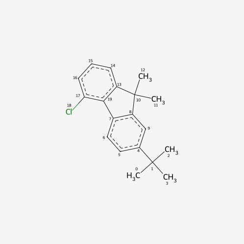 CC(C)(C)c1ccc2c(c1)C(C)(C)c1cccc(Cl)c1-2